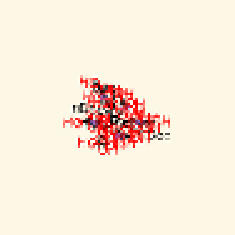 CCCCCCCCCCCCCCCC(CO[C@H](O)/C(O)=C(/O)[C@H](O)CCO)(CO[C@H](O)/C(O)=C(\O)[C@H](O)CCO)Cc1cc(C[C@](CCC)(CO[C@@H]2OC(CO)[C@@H](O)C(O)C2O)CO[C@H](O)/C(O)=C(\O)[C@H](O)CCO)cc(C(CCCCCCCCCCCC)C(CCCCCCCCCCCCCCC)(CO[C@H](O)/C(O)=C(/O)[C@H](O)CCO)CO[C@H](O)/C(O)=C(\O)[C@H](O)CCO)c1